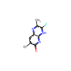 CCc1cc2nc(C)c(F)[nH]c-2nc1=O